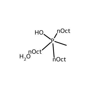 CCCCCCCCP(C)(O)(CCCCCCCC)CCCCCCCC.O